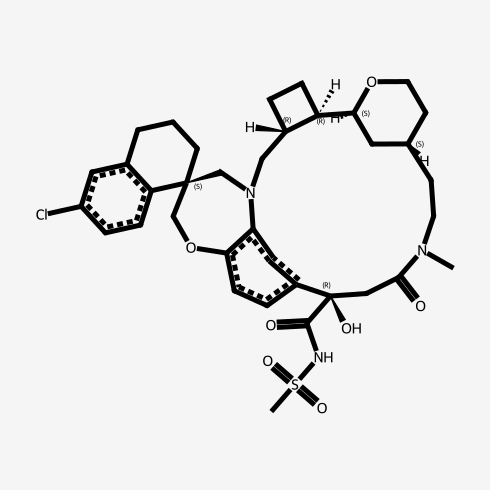 CN1CC[C@H]2CCO[C@@H](C2)[C@@H]2CC[C@H]2CN2C[C@@]3(CCCc4cc(Cl)ccc43)COc3ccc(cc32)[C@@](O)(C(=O)NS(C)(=O)=O)CC1=O